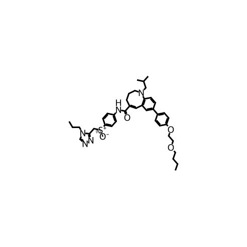 CCCCOCCOc1ccc(-c2ccc3c(c2)C=C(C(=O)Nc2ccc([S@@+]([O-])Cc4nncn4CCC)cc2)CCCN3CC(C)C)cc1